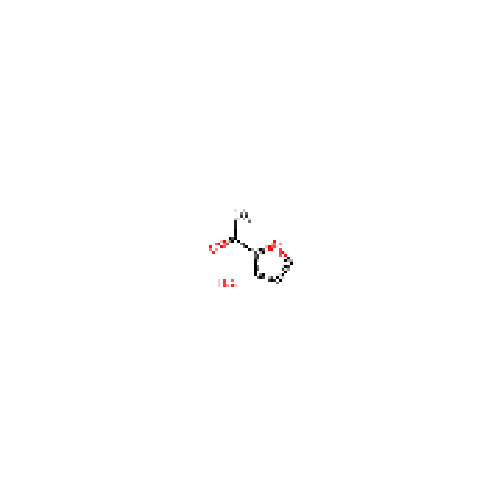 O.O=C(O)C(=O)c1ccco1